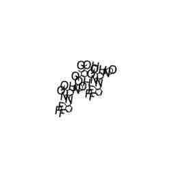 Cc1c(C(=O)O)cccc1C(=O)O.Cc1c(Cn2cnc3c(C(=O)O)cc(N4CCOCC4)cc32)cccc1C(F)(F)F.Cc1c(Cn2cnc3c(C(=O)O)cc(N4CCOCC4)cc32)cccc1C(F)(F)F